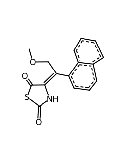 COCC(=C1NC(=O)SC1=O)c1cccc2ccccc12